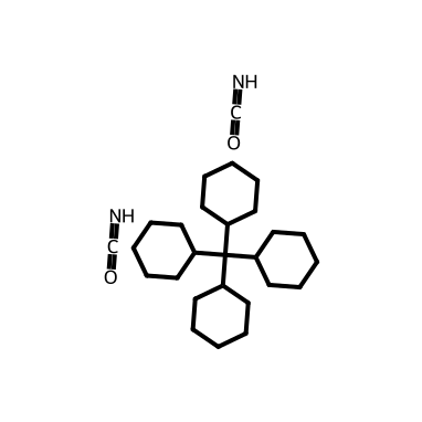 C1CCC(C(C2CCCCC2)(C2CCCCC2)C2CCCCC2)CC1.N=C=O.N=C=O